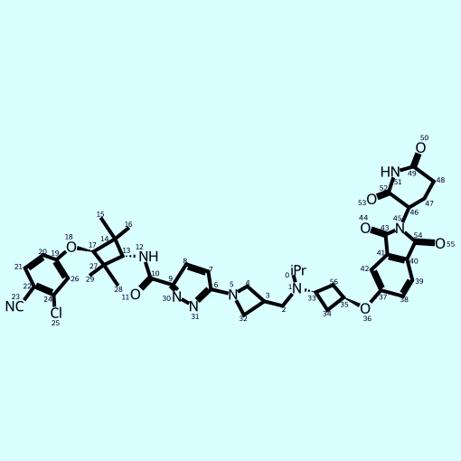 CC(C)N(CC1CN(c2ccc(C(=O)N[C@H]3C(C)(C)[C@H](Oc4ccc(C#N)c(Cl)c4)C3(C)C)nn2)C1)[C@H]1C[C@H](Oc2ccc3c(c2)C(=O)N(C2CCC(=O)NC2=O)C3=O)C1